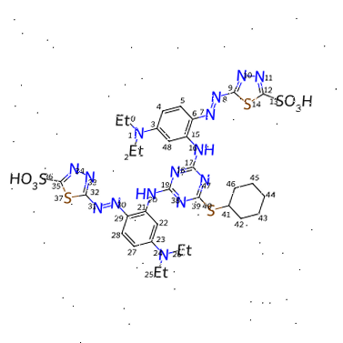 CCN(CC)c1ccc(/N=N/c2nnc(S(=O)(=O)O)s2)c(Nc2nc(Nc3cc(N(CC)CC)ccc3/N=N/c3nnc(S(=O)(=O)O)s3)nc(SC3CCCCC3)n2)c1